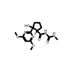 CNC(=O)NC(=O)C1(F)CCCC1(O)c1nc(OC)cc(OC)n1